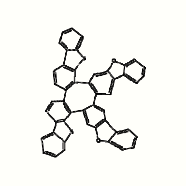 c1ccc2c(c1)oc1cc3c(cc12)-c1cc2c(cc1-c1c(ccc4c1sc1ccccc14)-c1ccc4c(sc5ccccc54)c1-3)oc1ccccc12